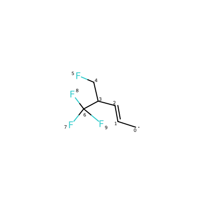 [CH2]C=CC(CF)C(F)(F)F